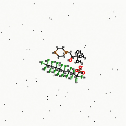 CC(C)(C)C(=O)C[S+]1CCSCC1.O=S(=O)([O-])C(F)(F)C(F)(F)C(F)(F)C(F)(F)C(F)(F)C(F)(F)C(F)(F)C(F)(F)F